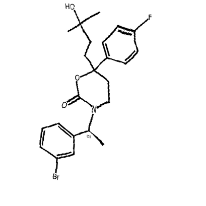 C[C@@H](c1cccc(Br)c1)N1CCC(CCC(C)(C)O)(c2ccc(F)cc2)OC1=O